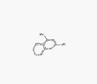 CC(C)c1cc(C(C)C)c2ccccc2c1